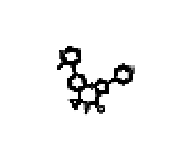 Cc1ncccc1-c1ccc2c(c1)-n1cc(-c3ccncc3)cc1C(=O)N(C)C21CC1